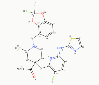 COC(=O)C1(Cc2nc(Nc3nccs3)ccc2F)CCN(Cc2cccc3c2OC(F)(F)O3)C(C)C1